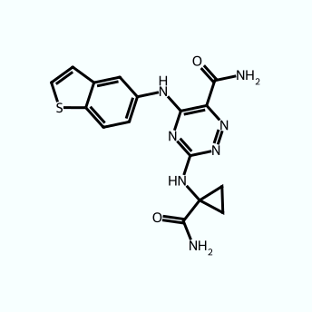 NC(=O)c1nnc(NC2(C(N)=O)CC2)nc1Nc1ccc2sccc2c1